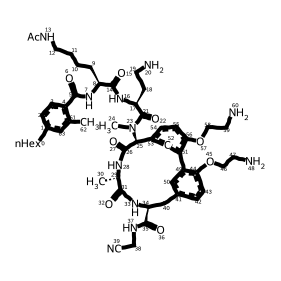 CCCCCCc1ccc(C(=O)N[C@@H](CCCCNC(C)=O)C(=O)N[C@@H](CCN)C(=O)N(C)[C@@H]2C(=O)N[C@@H](C)C(=O)N[C@H](C(=O)NCC#N)Cc3ccc(OCCN)c(c3)-c3cc2ccc3OCCN)c(C)c1